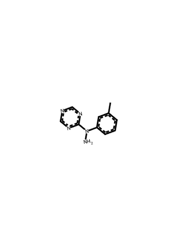 Cc1cccc(N(N)c2ncncn2)c1